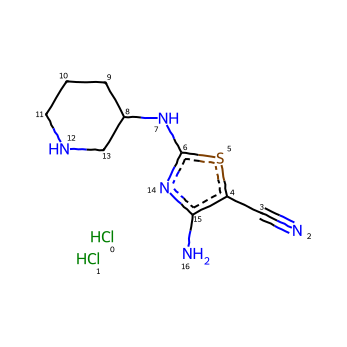 Cl.Cl.N#Cc1sc(NC2CCCNC2)nc1N